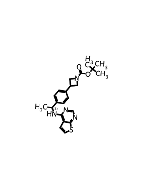 C[C@H](Nc1ncnc2sccc12)c1ccc(C2CN(C(=O)OC(C)(C)C)C2)cc1